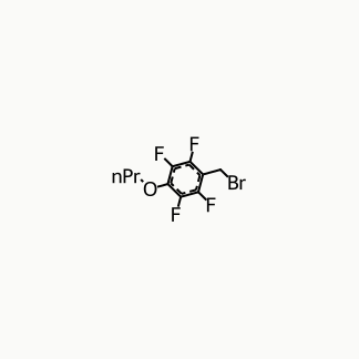 CCCOc1c(F)c(F)c(CBr)c(F)c1F